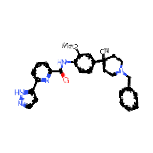 COc1cc(C2(C#N)CCN(Cc3ccccc3)CC2)ccc1NC(=O)c1cccc(-c2ccn[nH]2)n1